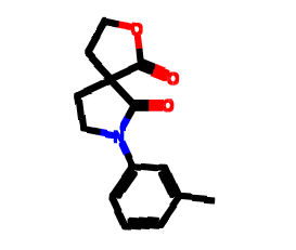 Cc1cccc(N2CCC3(CCOC3=O)C2=O)c1